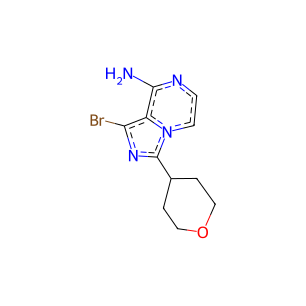 Nc1nccn2c(C3CCOCC3)nc(Br)c12